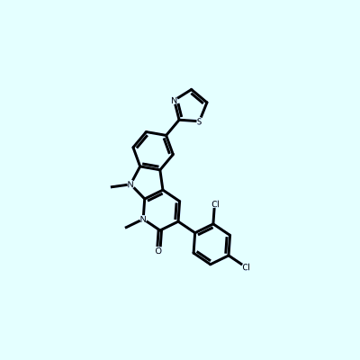 Cn1c(=O)c(-c2ccc(Cl)cc2Cl)cc2c3cc(-c4nccs4)ccc3n(C)c21